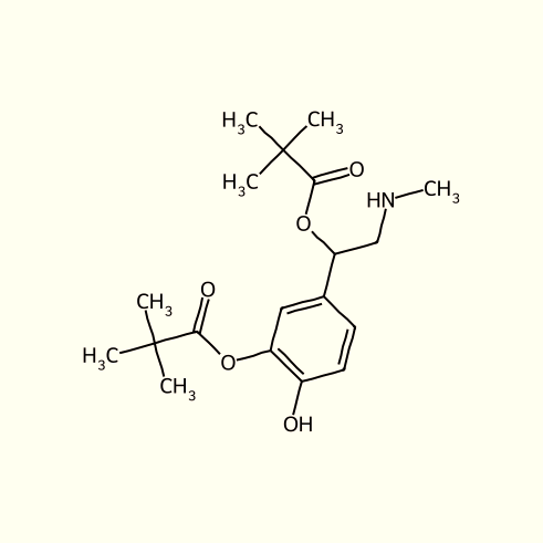 CNCC(OC(=O)C(C)(C)C)c1ccc(O)c(OC(=O)C(C)(C)C)c1